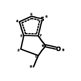 CC1Cc2ccsc2C1=O